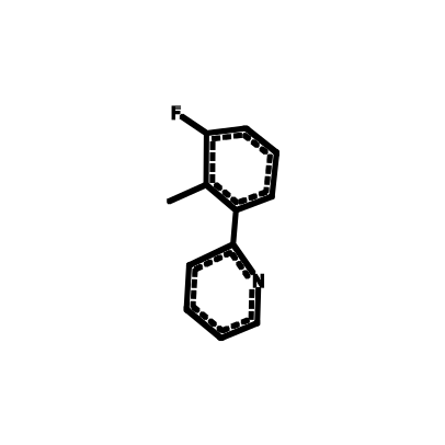 Cc1c(F)cccc1-c1ccccn1